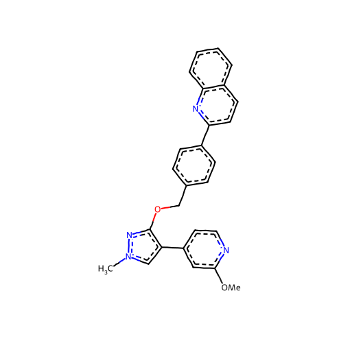 COc1cc(-c2cn(C)nc2OCc2ccc(-c3ccc4ccccc4n3)cc2)ccn1